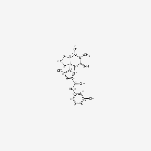 CN1C(=N)NC2(c3sc(C(=O)Nc4cccc(Cl)n4)cc3Cl)COCC2[S+]1[O-]